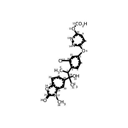 CC(c1ccc(Oc2ccc(OC(=O)O)nn2)cc1Cl)C(O)(c1ccc2oc(=O)n(C)c2c1)C(F)(F)F